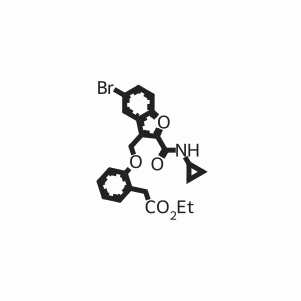 CCOC(=O)Cc1ccccc1OCc1c(C(=O)NC2CC2)oc2ccc(Br)cc12